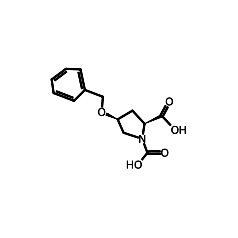 O=C(O)[C@@H]1C[C@H](OCc2ccccc2)CN1C(=O)O